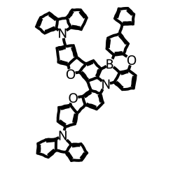 c1ccc(-c2ccc3c(c2)Oc2cccc4c2B3c2cc3c5cc(-n6c7ccccc7c7ccccc76)ccc5oc3c3c5c6oc7ccc(-n8c9ccccc9c9ccccc98)cc7c6ccc5n-4c23)cc1